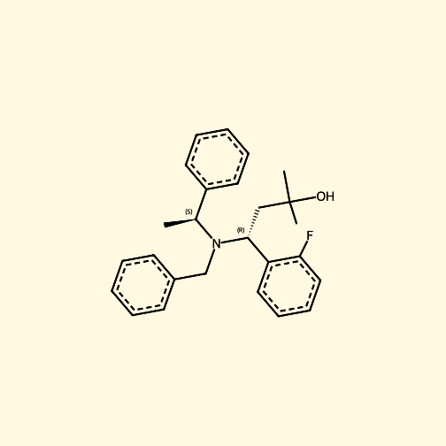 C[C@@H](c1ccccc1)N(Cc1ccccc1)[C@H](CC(C)(C)O)c1ccccc1F